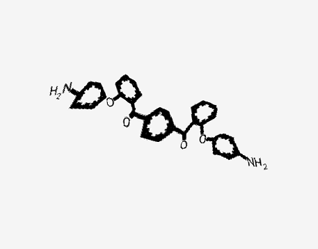 Nc1ccc(Oc2ccccc2C(=O)c2ccc(C(=O)c3ccccc3Oc3ccc(N)cc3)cc2)cc1